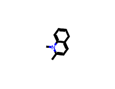 CC1=CC=C2CC=CC=C2N1C